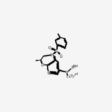 Cc1cccc(S(=O)(=O)N2C[C@H](C)Oc3ncc(N(C(=O)O)C(C)(C)C)cc32)c1